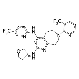 FC(F)(F)c1ccc(Nc2nc(N[C@@H]3CCOC3)nc3c2CCN(c2ncccc2C(F)(F)F)CC3)nc1